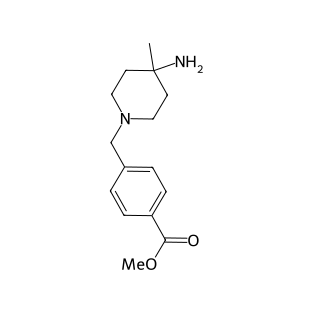 COC(=O)c1ccc(CN2CCC(C)(N)CC2)cc1